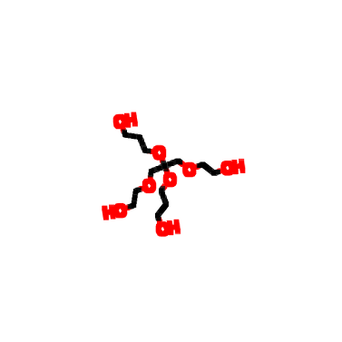 OCCCOC(COCCO)(COCCO)OCCCO